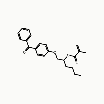 C=C(C)C(=O)OC(CCCC)COc1ccc(C(=O)c2ccccc2)cc1